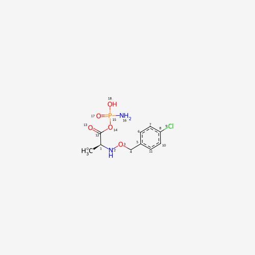 C[C@H](NOCc1ccc(Cl)cc1)C(=O)OP(N)(=O)O